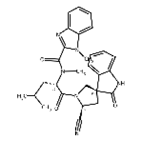 CC(C)C[C@@H](C(=O)N1C[C@]2(C[C@H]1C#N)C(=O)Nc1ccccc12)N(C)C(=O)c1nc2ccccc2n1C